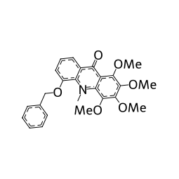 COc1c(OC)c(OC)c2c(c1OC)c(=O)c1cccc(OCc3ccccc3)c1n2C